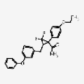 CCOc1ccc(C2(C(N)=O)C(Cc3cccc(Oc4ccccc4)c3)C2(F)F)cc1